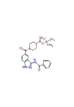 CC(C)(C)OC(=O)C1CCN(C(=O)c2ccc3[nH]nc(NC(=O)c4ccccc4)c3c2)CC1